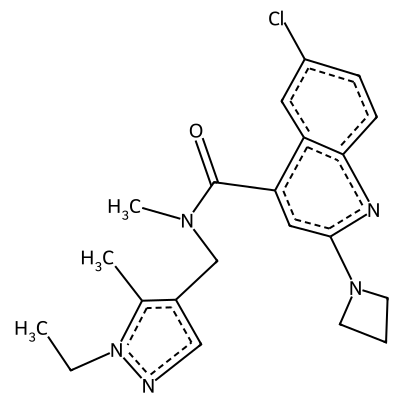 CCn1ncc(CN(C)C(=O)c2cc(N3CCC3)nc3ccc(Cl)cc23)c1C